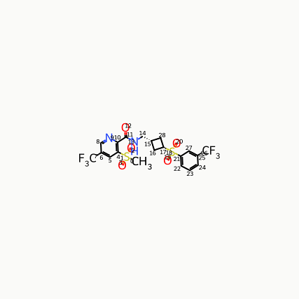 CS(=O)(=O)c1cc(C(F)(F)F)cnc1C(=O)NC[C@H]1C[C@H](S(=O)(=O)c2cccc(C(F)(F)F)c2)C1